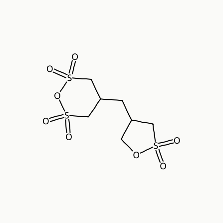 O=S1(=O)CC(CC2CS(=O)(=O)OS(=O)(=O)C2)CO1